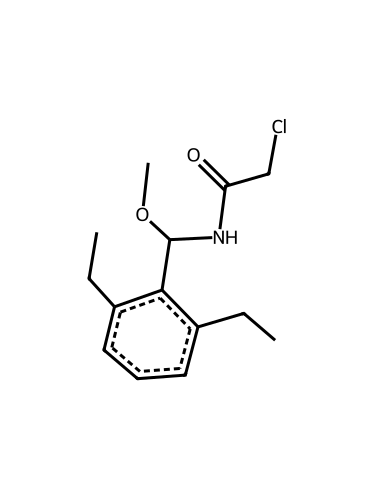 CCc1cccc(CC)c1C(NC(=O)CCl)OC